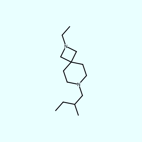 CCC(C)CN1CCC2(CC1)CN(CC)C2